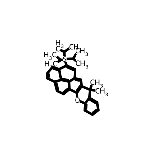 CC(C)S(c1cc2cc3c(c4ccc5cccc1c5c24)Oc1ccccc1C3(C)C)(C(C)C)C(C)C